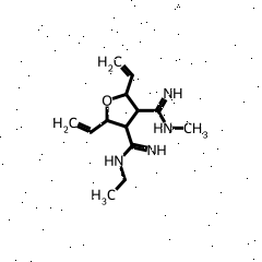 C=CC1OC(C=C)C(C(=N)NCC)C1C(=N)NC